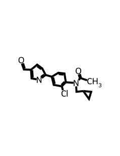 CC(=O)N(CC1CC1)c1ccc(-c2ccc(C=O)cn2)cc1Cl